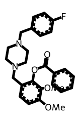 COc1ccc(CN2CCN(Cc3ccc(F)cc3)CC2)c(OC(=O)c2ccccc2)c1OC